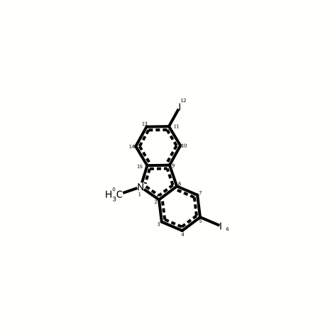 Cn1c2ccc(I)cc2c2cc(I)ccc21